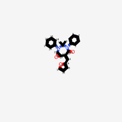 CC1(C)N(c2ccccc2)C(=O)/C(=C/c2ccco2)C2OC2N1c1ccccc1